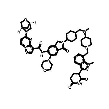 CN(CC1CCC(N2Cc3cc(NC(=O)c4cnn5ccc(N6C[C@H]7C[C@@H]6CO7)nc45)c(N4CCOCC4)cc3C2=O)CC1)C1CCN(Cc2cccc3c(C4CCC(=O)NC4=O)nn(C)c23)CC1